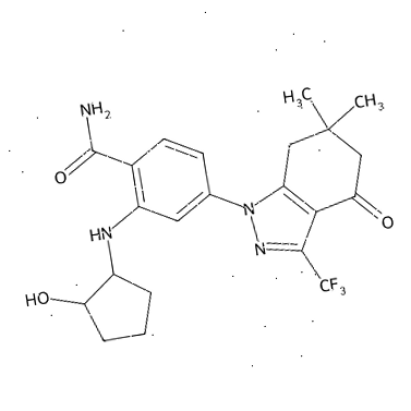 CC1(C)CC(=O)c2c(C(F)(F)F)nn(-c3ccc(C(N)=O)c(NC4CCCC4O)c3)c2C1